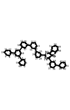 c1ccc(-c2cc(-c3ccccc3)cc(-c3cccc(-c4cccc(-c5cccc(-c6nc(-c7cccc(-c8ccccc8)c7)c7sc8ccccc8c7n6)c5)c4)c3)c2)cc1